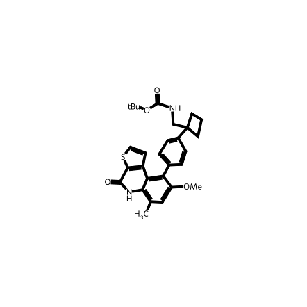 COc1cc(C)c2[nH]c(=O)c3sccc3c2c1-c1ccc(C2(CNC(=O)OC(C)(C)C)CCC2)cc1